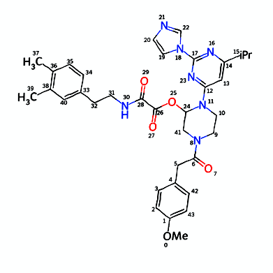 COc1ccc(CC(=O)N2CCN(c3cc(C(C)C)nc(-n4ccnc4)n3)C(OC(=O)C(=O)NCCc3ccc(C)c(C)c3)C2)cc1